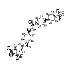 CN(c1ccc([N+](=O)[O-])c(C(F)(F)F)c1)[C@H]1CC[C@H](OCC(=O)N2CCN(c3ccc(C(F)(F)F)cc3)CC2)CC1